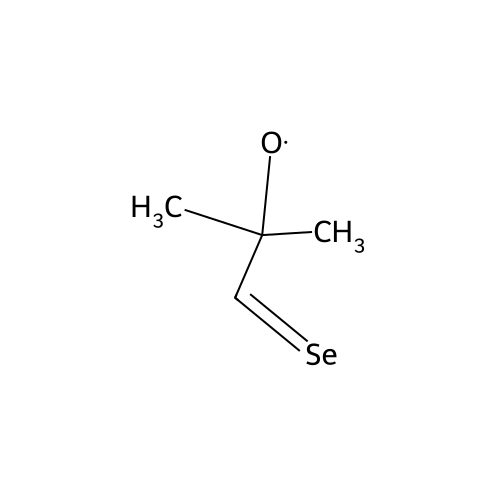 CC(C)([O])C=[Se]